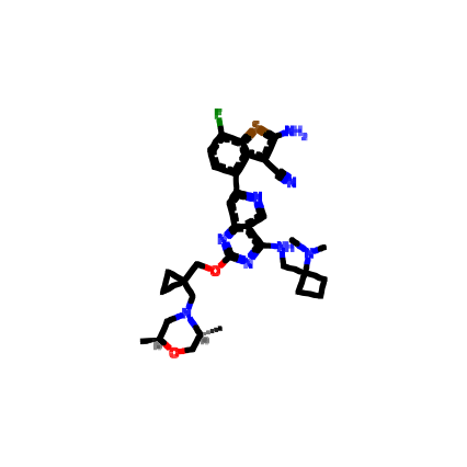 C[C@@H]1CO[C@@H](C)CN1CC1(COc2nc(NCC3(N(C)C)CCC3)c3cnc(-c4ccc(F)c5sc(N)c(C#N)c45)cc3n2)CC1